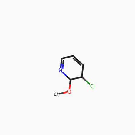 CCOC1N=CC=CC1Cl